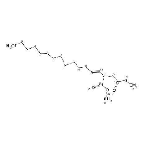 CCCCCCCCCCCCC=CC(CC(=O)OC)C(=O)OC